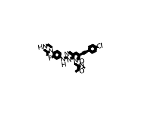 Cc1ocnc1Cn1c(=O)c(C#Cc2ccc(Cl)cc2)cc2cnc(Nc3ccc(N4CCNCC4C)c(F)c3)nc21